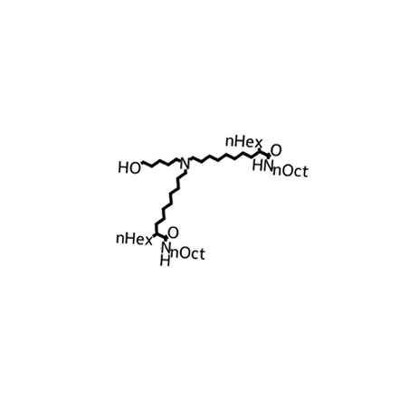 CCCCCCCCNC(=O)C(CCCCCC)CCCCCCCCN(CCCCCO)CCCCCCCCC(CCCCCC)C(=O)NCCCCCCCC